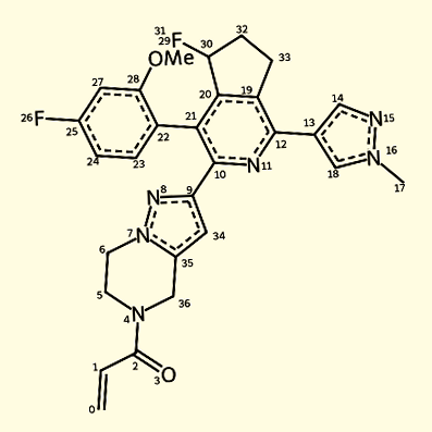 C=CC(=O)N1CCn2nc(-c3nc(-c4cnn(C)c4)c4c(c3-c3ccc(F)cc3OC)C(F)CC4)cc2C1